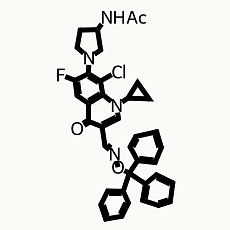 CC(=O)NC1CCN(c2c(F)cc3c(=O)c(/C=N/OC(c4ccccc4)(c4ccccc4)c4ccccc4)cn(C4CC4)c3c2Cl)C1